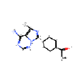 COC(=O)[C@H]1CC[C@H](c2nc(C)c3c(N)ncnn32)CC1